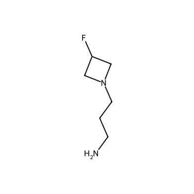 NCCCN1CC(F)C1